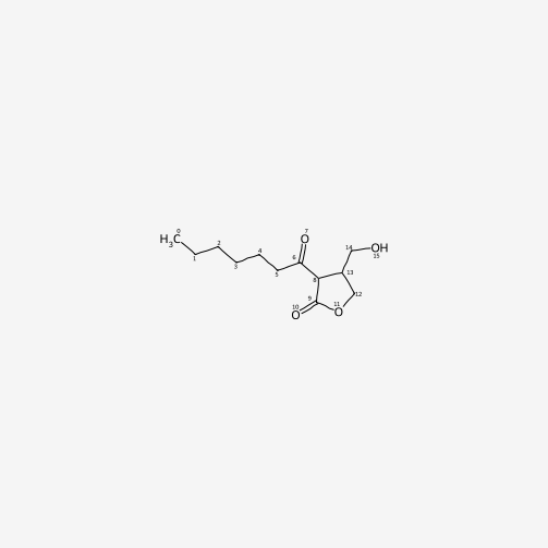 CCCCCCC(=O)C1C(=O)OCC1CO